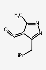 CC(C)CC1=NN=C(C(F)(F)F)S1=S=O